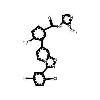 Cc1ccc(C(=O)Nc2ccnn2C)cc1-c1ccn2c(-c3cc(F)ccc3Cl)nnc2c1